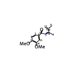 COc1ccc(C(=O)/C=C(/C)N(C)C)cc1OC